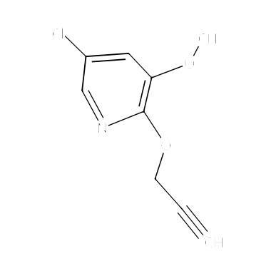 C#CCOc1ncc(Cl)cc1OC